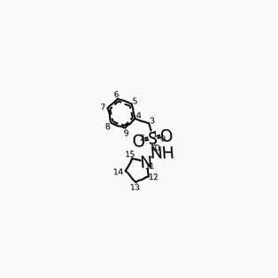 O=S(=O)(Cc1ccccc1)NN1CCCC1